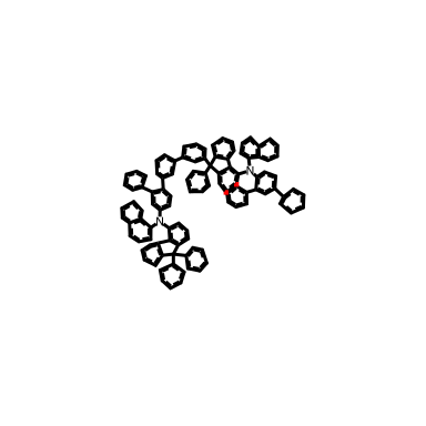 c1ccc(-c2ccc(N(c3cccc4c3-c3ccccc3C4(c3ccccc3)c3cccc(-c4cccc(-c5ccc(N(c6cccc7c6-c6ccccc6C7(c6ccccc6)c6ccccc6)c6cccc7ccccc67)cc5-c5ccccc5)c4)c3)c3cccc4ccccc34)c(-c3ccccc3)c2)cc1